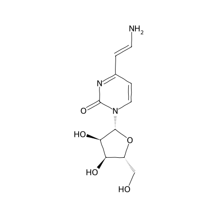 NC=Cc1ccn([C@@H]2O[C@H](CO)[C@@H](O)[C@H]2O)c(=O)n1